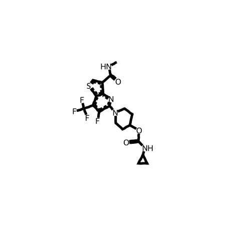 CNC(=O)c1csc2c(C(F)(F)F)c(F)c(N3CCC(OC(=O)NC4CC4)CC3)nc12